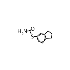 NC(=O)Sc1ccc2c(c1)CCC2